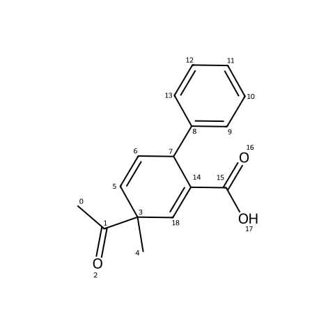 CC(=O)C1(C)C=CC(c2ccccc2)C(C(=O)O)=C1